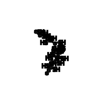 C1=CSSS1.C1SCSS1.C1SCSS1.SCCc1cc(CCS)cc(CCS)c1.SCCc1ccc(CCS)c(CCS)c1.SCCc1cccc(CCS)c1CCS.SCc1cc(CS)cc(CS)c1.SCc1ccc(CS)c(CS)c1.SCc1cccc(CS)c1CS.c1ccccc1.c1ccccc1.c1ccccc1